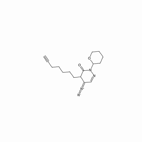 C#CCCCCCC1C(=O)N(C2CCCCO2)N=CC1=[N+]=[N-]